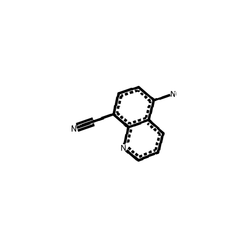 [N]c1ccc(C#N)c2ncccc12